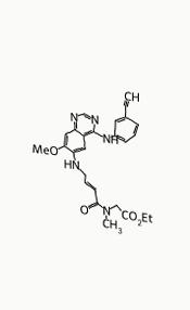 C#Cc1cccc(Nc2ncnc3cc(OC)c(NCC=CC(=O)N(C)CC(=O)OCC)cc23)c1